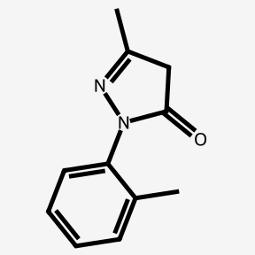 CC1=NN(c2ccccc2C)C(=O)C1